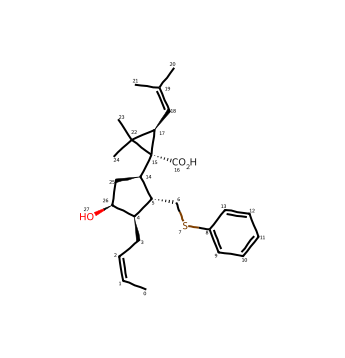 C/C=C\C[C@@H]1[C@@H](CSc2ccccc2)[C@H]([C@]2(C(=O)O)[C@H](C=C(C)C)C2(C)C)C[C@@H]1O